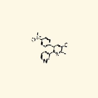 Cc1nc(-c2cccnc2)c(-c2ccc([S+](C)[O-])cc2)cc1Cl